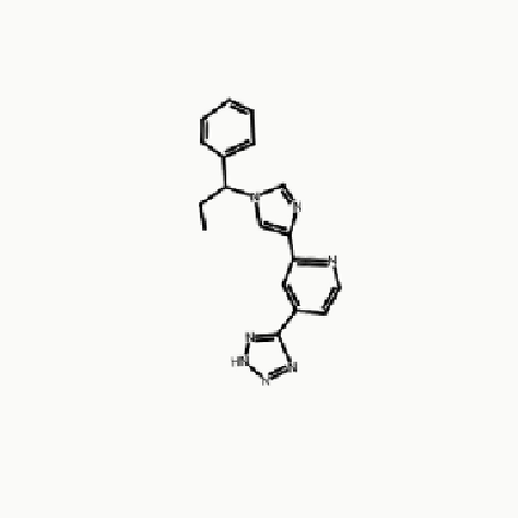 CCC(c1ccccc1)n1cnc(-c2cc(-c3nn[nH]n3)ccn2)c1